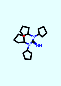 N=C(N(C1CCCC1)C1CCCC1)N(C1CCCC1)C1CCCC1